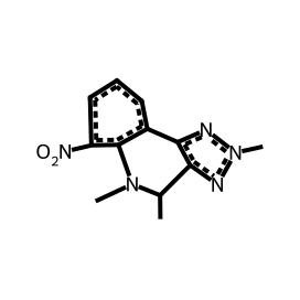 CC1c2nn(C)nc2-c2cccc([N+](=O)[O-])c2N1C